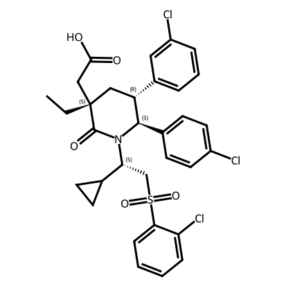 CC[C@@]1(CC(=O)O)C[C@H](c2cccc(Cl)c2)[C@@H](c2ccc(Cl)cc2)N([C@H](CS(=O)(=O)c2ccccc2Cl)C2CC2)C1=O